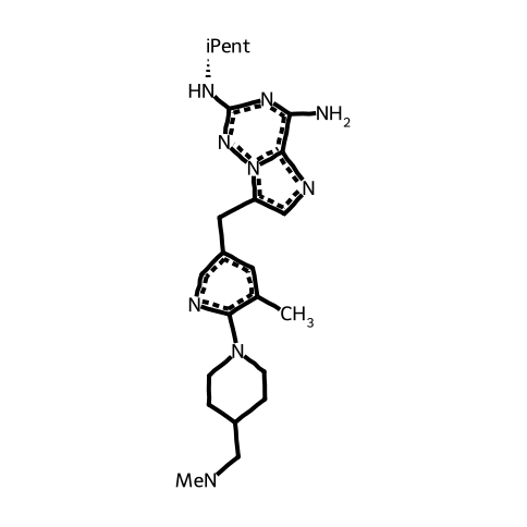 CCC[C@@H](C)Nc1nc(N)c2ncc(Cc3cnc(N4CCC(CNC)CC4)c(C)c3)n2n1